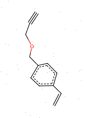 C#CCOCc1ccc(C=C)cc1